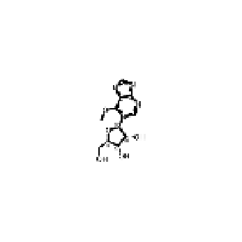 COc1c2ncnc-2ncn1[C@@H]1O[C@H](CO)[C@H](O)[C@H]1O